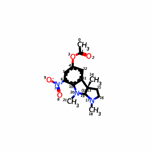 CC(=O)Oc1cc([N+](=O)[O-])c2c(c1)[C@]1(C)CCN(C)C1N2C